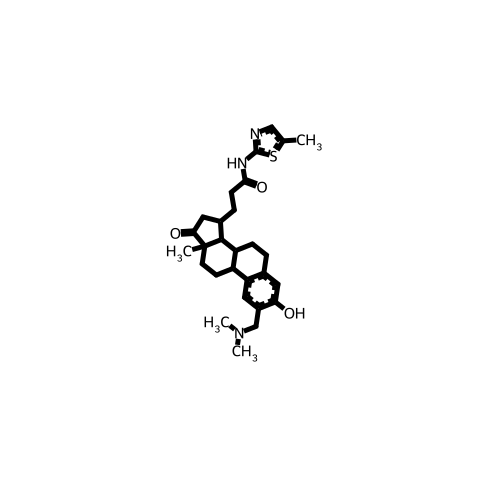 Cc1cnc(NC(=O)CCC2CC(=O)C3(C)CCC4c5cc(CN(C)C)c(O)cc5CCC4C23)s1